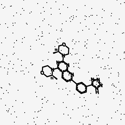 C[C@H]1COCCN1c1nc(N2CCOC[C@@H]2C)c2ccc(-c3cccc(-c4nnn[nH]4)c3)nc2n1